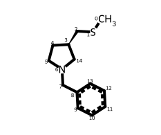 CSC[C@@H]1CCN(Cc2ccccc2)C1